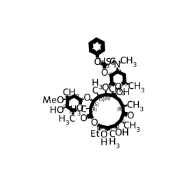 CC[C@H]1OC(=O)[C@H](C)[C@@H](O[C@H]2C[C@@](C)(OC)[C@@H](O)[C@H](C)O2)[C@H](C)[C@@H](O[C@@H]2O[C@H](C)C[C@H](N(C)C)[C@H]2OC(=S)Oc2ccccc2)[C@](C)(O)C[C@@H](C)C(=O)[C@H](C)[C@@H](O)[C@]1(C)O